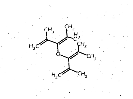 C=C(C)C(OC(C(=C)C)=C(C)C)=C(C)C